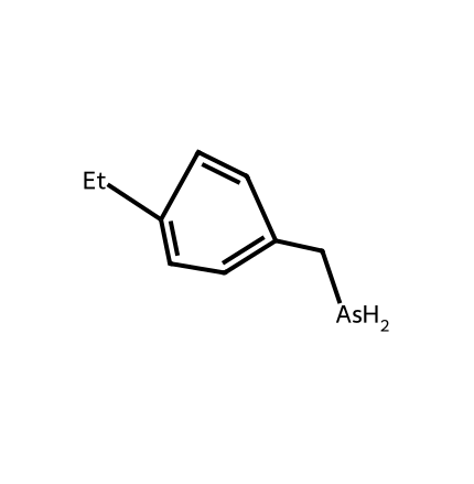 CCc1ccc(C[AsH2])cc1